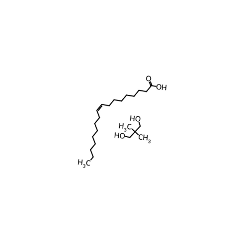 CC(C)(CO)CO.CCCCCCCC/C=C\CCCCCCCC(=O)O